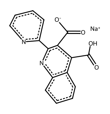 O=C([O-])c1c(-c2ccccn2)nc2ccccc2c1C(=O)O.[Na+]